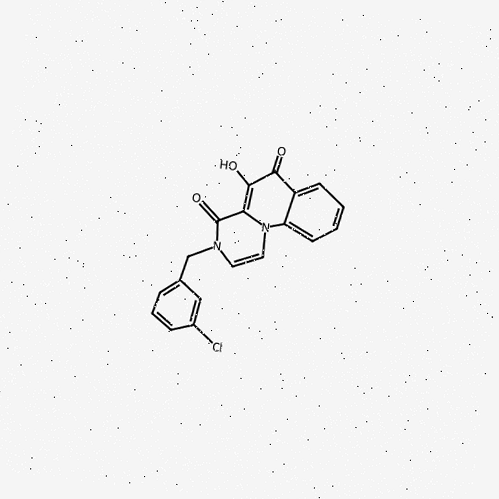 O=c1c(O)c2c(=O)n(Cc3cccc(Cl)c3)ccn2c2ccccc12